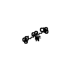 [N-]=[N+]=C(C(=O)CCCCCS(=O)(=O)Cl)C(=O)CCCCCS(=O)(=O)Cl